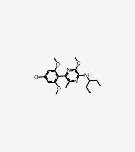 CCC(CC)Nc1nc(C)c(-c2c(OC)cc(Cl)cc2OC)nc1OC